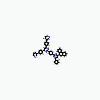 c1cncc(-c2ccc(-c3cc(-c4ccc(-c5cccnc5)cc4)nc(-c4ccc(-c5nc(-c6cc7ccccc7c7ccccc67)c6sc7ccccc7c6n5)cc4)n3)cc2)c1